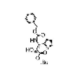 CC(C)(C)OC(=O)[C@H](O)[C@@H](NC(=O)OCc1ccccc1)c1cccs1